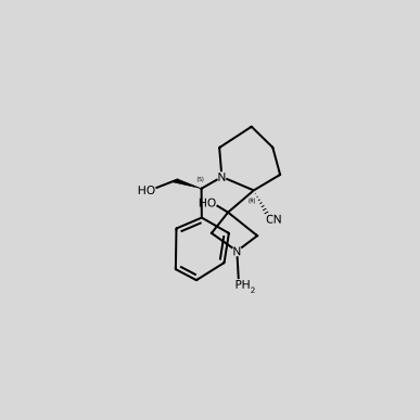 N#C[C@@]1(C2(O)CN(P)C2)CCCCN1[C@H](CO)c1ccccc1